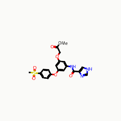 COC(=O)COc1cc(NC(=O)c2c[nH]cn2)cc(Oc2ccc(S(C)(=O)=O)cc2)c1